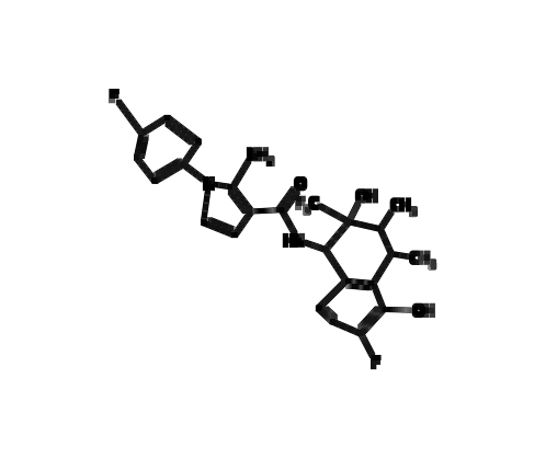 CC1c2c(ccc(F)c2O)C(NC(=O)c2ccn(-c3ccc(F)cc3)c2N)C(O)(C(F)(F)F)C1C